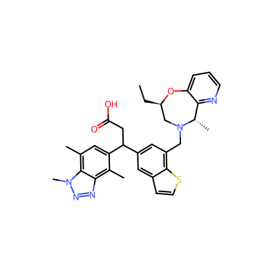 CC[C@@H]1CN(Cc2cc(C(CC(=O)O)c3cc(C)c4c(nnn4C)c3C)cc3ccsc23)[C@@H](C)c2ncccc2O1